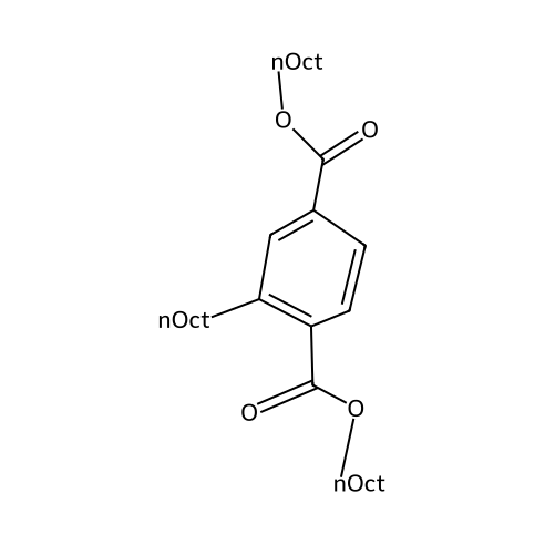 CCCCCCCCOC(=O)c1ccc(C(=O)OCCCCCCCC)c(CCCCCCCC)c1